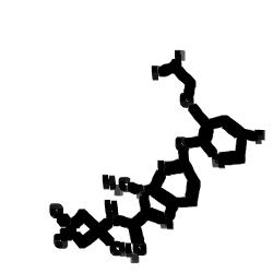 Cn1c(C(=O)NC2(C)CS(=O)(=O)C2)nc2ccc(Oc3ncc(F)cc3OCC(F)F)nc21